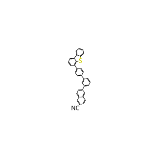 N#Cc1ccc2cc(-c3cccc(-c4ccc(-c5cccc6c5sc5ccccc56)cc4)c3)ccc2c1